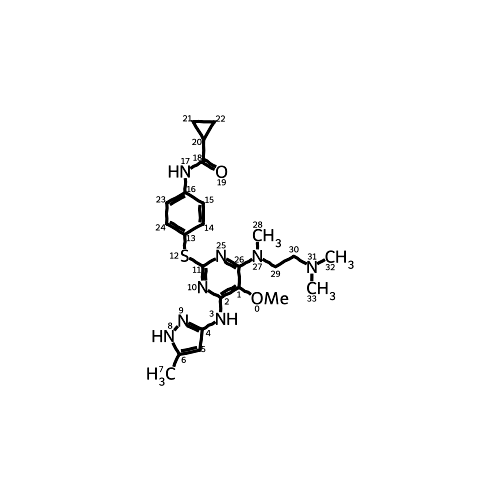 COc1c(Nc2cc(C)[nH]n2)nc(Sc2ccc(NC(=O)C3CC3)cc2)nc1N(C)CCN(C)C